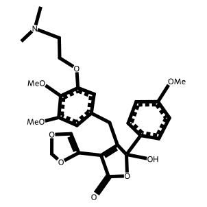 COc1ccc(C2(O)OC(=O)C(C3=COCO3)=C2Cc2cc(OC)c(OC)c(OCCN(C)C)c2)cc1